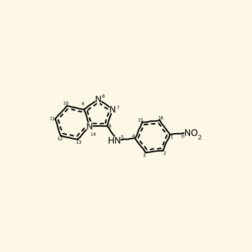 O=[N+]([O-])c1ccc(Nc2nnc3ccccn23)cc1